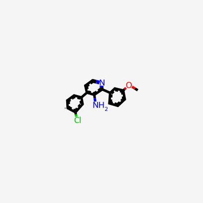 COc1cccc(-c2nccc(-c3cc[c]c(Cl)c3)c2N)c1